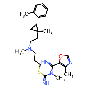 Cc1ncoc1C(=N)N(C)C(=N)SCCCN(C)CC[C@]1(C)C[C@@H]1c1ccccc1C(F)(F)F